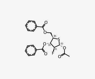 CC(=O)O[C@H]1S[C@H](COC(=O)c2ccccc2)[C@@H](OC(=O)c2ccccc2)[C@@H]1F